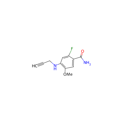 C#CCNc1cc(F)c(C(N)=O)cc1OC